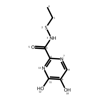 CCSNC(=O)c1ncc(O)c(O)n1